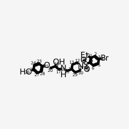 CCc1cc(Br)ccc1S(=O)(=O)N1CCC(CNC[C@H](O)COc2ccc(O)cc2)CC1